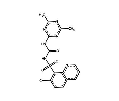 Cc1nc(C)nc(NC(=O)NS(=O)(=O)c2c(Cl)ccc3cccnc23)n1